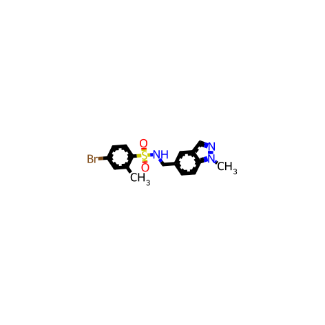 Cc1cc(Br)ccc1S(=O)(=O)NCc1ccc2c(cnn2C)c1